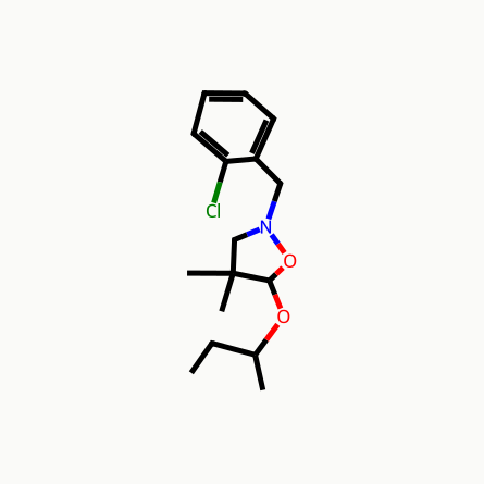 CCC(C)OC1ON(Cc2ccccc2Cl)CC1(C)C